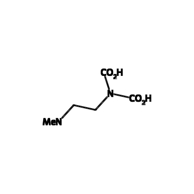 CNCCN(C(=O)O)C(=O)O